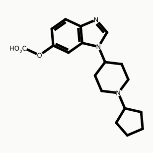 O=C(O)Oc1ccc2ncn(C3CCN(C4CCCC4)CC3)c2c1